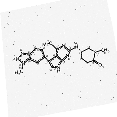 COc1nc(N[C@H]2CCC(=O)N(C)C2)nc2[nH]cc(-c3ccc4nnn(C)c4c3)c12